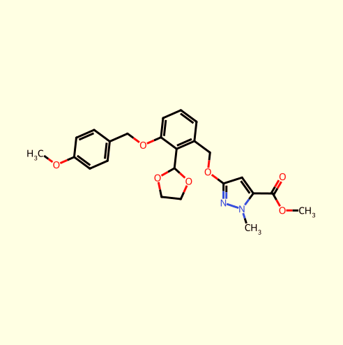 COC(=O)c1cc(OCc2cccc(OCc3ccc(OC)cc3)c2C2OCCO2)nn1C